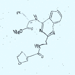 COC(=O)[C@@H](Nc1nc(CNC(=O)C2=COCC2)nc2ccccc12)C(C)C